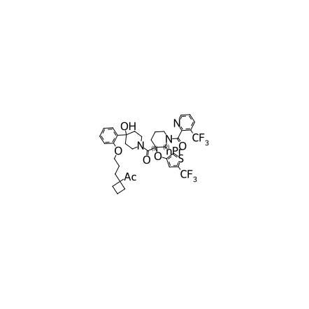 CCC[C@H]1N(C(=O)c2ncccc2C(F)(F)F)CCC[C@@]1(Oc1csc(C(F)(F)F)c1)C(=O)N1CCC(O)(c2ccccc2OCCCC2(C(C)=O)CCC2)CC1